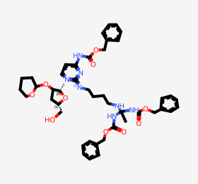 CC(NCCCC/N=c1\nc(NC(=O)OCc2ccccc2)ccn1[C@@H]1O[C@H](CO)CC1OC1CCCCO1)(NC(=O)OCc1ccccc1)NC(=O)OCc1ccccc1